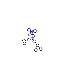 c1ccc(-c2ccc(-c3ccc(N(c4ccc(-c5ccccc5-n5c6ccccc6c6ccccc65)cc4)c4ccc(-c5cccc6ccccc56)cc4)cc3)cc2-c2ccccc2)cc1